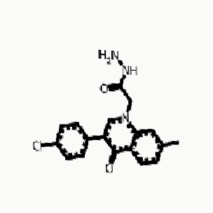 Cc1ccc2c(=O)c(-c3ccc(Cl)cc3)cn(CC(=O)NN)c2c1